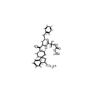 CCOC(=O)C1CC2(CCN(C(=O)C(CCCc3ccccc3)NC(=O)C(C)(C)NC(=O)OC(C)(C)C)CC2)c2ccccc21